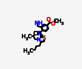 CCCCc1csc(=Nc2ccc(C(=O)OC)cc2CN)n1CC(C)C